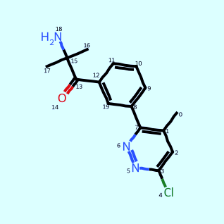 Cc1cc(Cl)nnc1-c1cccc(C(=O)C(C)(C)N)c1